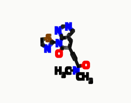 CN(C)C(=O)C#Cc1cc2cncnc2n(-c2nccs2)c1=O